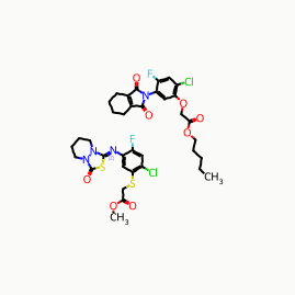 CCCCCOC(=O)COc1cc(N2C(=O)C3=C(CCCC3)C2=O)c(F)cc1Cl.COC(=O)CSc1cc(/N=c2\sc(=O)n3n2CCCC3)c(F)cc1Cl